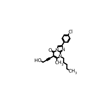 CCCCCn1c(C)c(C#CCO)c(=O)n2cc(-c3ccc(Cl)cc3)nc12